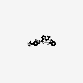 Cc1ncsc1-c1ccc(CNC(=O)C2CCCN2C(=O)C(C(C)C)N2Cc3ccccc3C2=O)c(O)c1